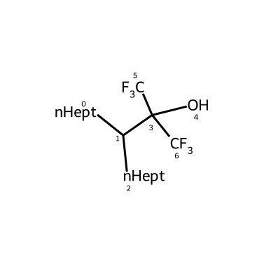 CCCCCCCC(CCCCCCC)C(O)(C(F)(F)F)C(F)(F)F